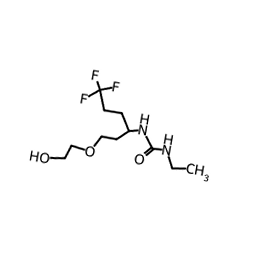 CCNC(=O)NC(CCOCCO)CCC(F)(F)F